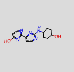 Oc1ccnc(-c2ccnc(NC3CCC(O)CC3)n2)n1